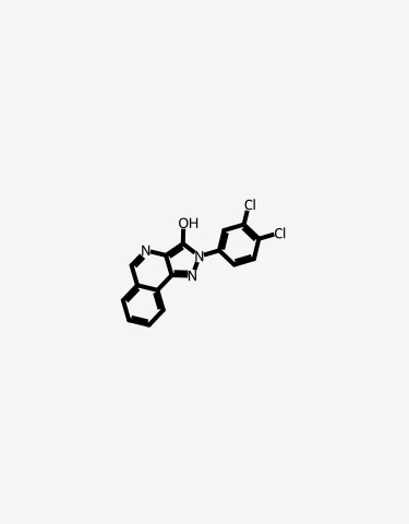 Oc1c2ncc3ccccc3c2nn1-c1ccc(Cl)c(Cl)c1